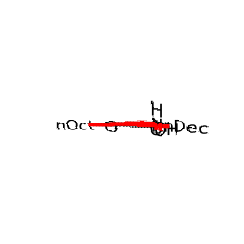 CCCCCCCCC=CCCCCCCCCCCCC(=O)CCCCCCCCCCCCCCCCCCCCCCCCCCCCCC(=O)N[C@@H](CO)CCCCCCCCCCCCCCCC